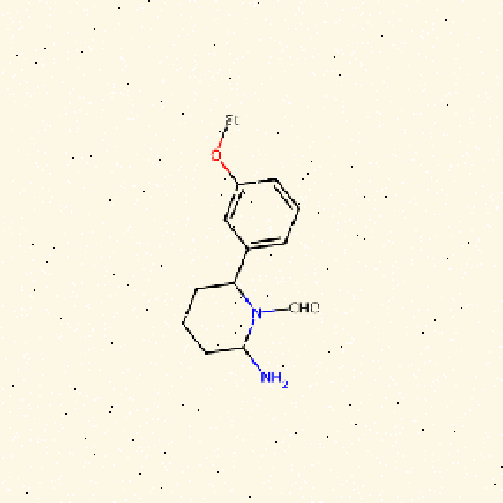 CCOc1cccc(C2CCCC(N)N2C=O)c1